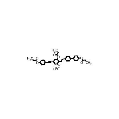 C=CC(=O)Oc1ccc(C#Cc2cc(OCCC)c(/C=C/c3ccc(-c4ccc(OC(=O)C=C)cc4)cc3)c(OC(=O)C=C)c2)cc1